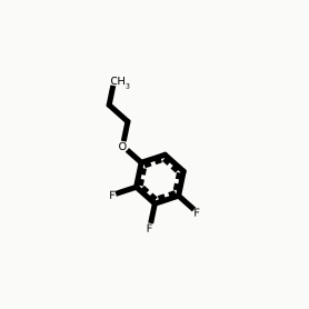 CCCOc1ccc(F)c(F)c1F